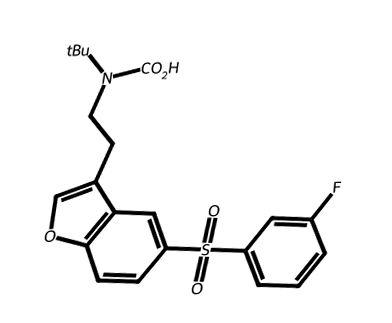 CC(C)(C)N(CCc1coc2ccc(S(=O)(=O)c3cccc(F)c3)cc12)C(=O)O